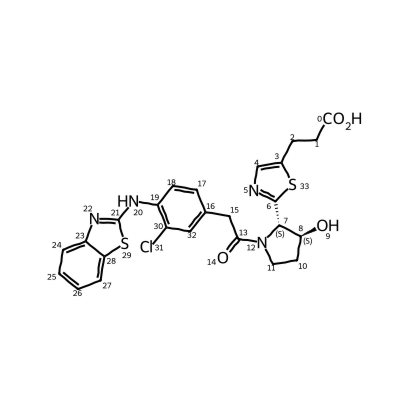 O=C(O)CCc1cnc([C@@H]2[C@@H](O)CCN2C(=O)Cc2ccc(Nc3nc4ccccc4s3)c(Cl)c2)s1